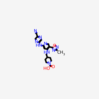 Cc1noc(-c2cnc(Nc3cnc(C#N)cn3)cc2NCC2CCN(C(=O)O)CC2)n1